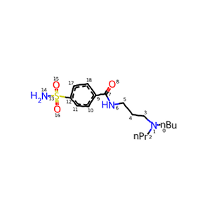 CCCCN(CCC)CCCNC(=O)c1ccc(S(N)(=O)=O)cc1